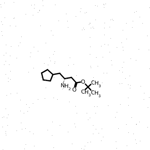 CC(C)(C)OC(=O)C[C@H](N)CC1CCCC1